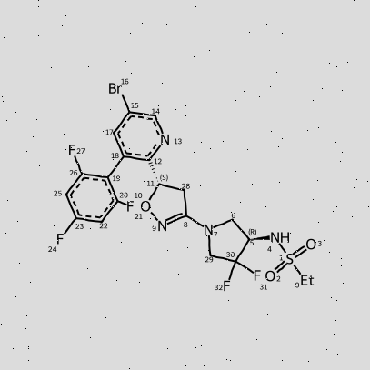 CCS(=O)(=O)N[C@@H]1CN(C2=NO[C@H](c3ncc(Br)cc3-c3c(F)cc(F)cc3F)C2)CC1(F)F